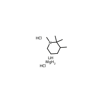 CC1CCCN(C)C1(C)C.Cl.Cl.[LiH].[MgH2]